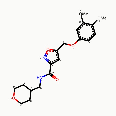 COc1ccc(OCc2cc(C(=O)NCC3CCOCC3)no2)cc1OC